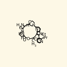 CCn1c(-c2cccnc2C(C)C)c2c3nc(ccc31)N1CCO[C@@H](C[C@H](N)C(=O)N3CCC[C@H](N3)C(=O)OCC(C)(C)C2)C1